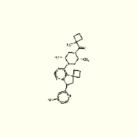 C[C@@H]1CN(c2ncnc3c2C2(CCC2)CN3c2cc(C#N)ccn2)[C@@H](C)CN1C(=O)C1(C(F)(F)F)CCC1